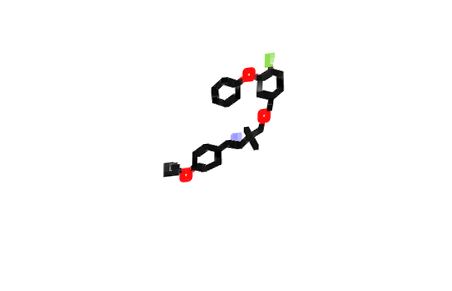 CCOc1ccc(/C=C/C(C)(C)COCc2ccc(F)c(Oc3ccccc3)c2)cc1